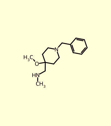 CNCC1(OC)CCN(Cc2ccccc2)CC1